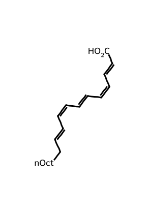 CCCCCCCCC/C=C/C=C\C=C\C=C/C=C/C(=O)O